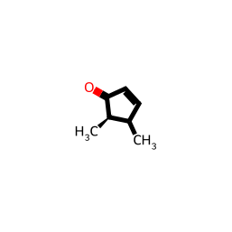 CC1C=CC(=O)[C@@H]1C